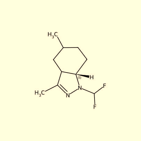 CC1=NN(C(F)F)[C@H]2CCC(C)CC12